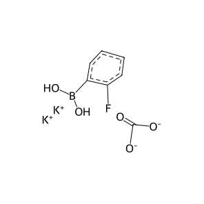 O=C([O-])[O-].OB(O)c1ccccc1F.[K+].[K+]